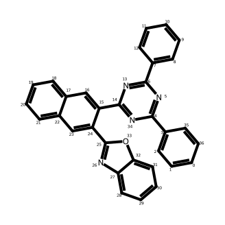 c1ccc(-c2nc(-c3ccccc3)nc(-c3cc4ccccc4cc3-c3nc4ccccc4o3)n2)cc1